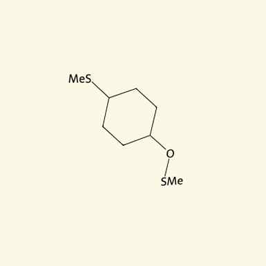 CSOC1CCC(SC)CC1